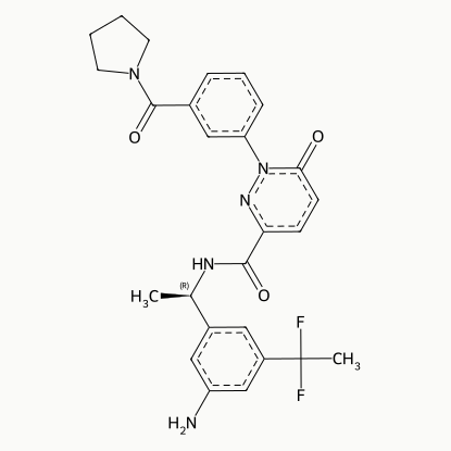 C[C@@H](NC(=O)c1ccc(=O)n(-c2cccc(C(=O)N3CCCC3)c2)n1)c1cc(N)cc(C(C)(F)F)c1